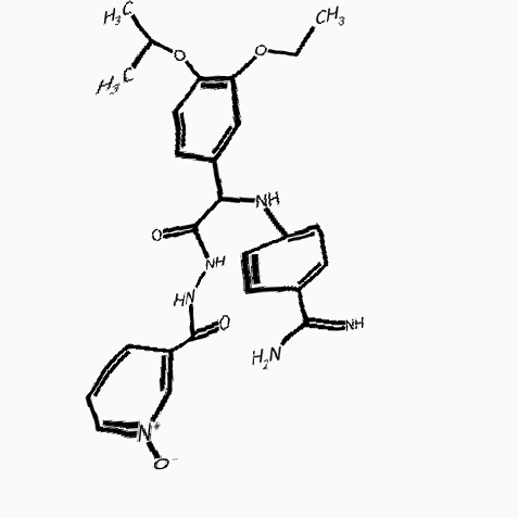 CCOc1cc(C(Nc2ccc(C(=N)N)cc2)C(=O)NNC(=O)c2ccc[n+]([O-])c2)ccc1OC(C)C